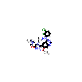 COc1cc2ncnc(Nc3cccc(Cl)c3F)c2cc1CN(C)[C@@H](CN(C)C)C(N)=O